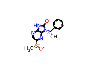 C[C@@H](c1ccccc1)n1c(=O)[nH]c2ncc([S+](C)[O-])nc21